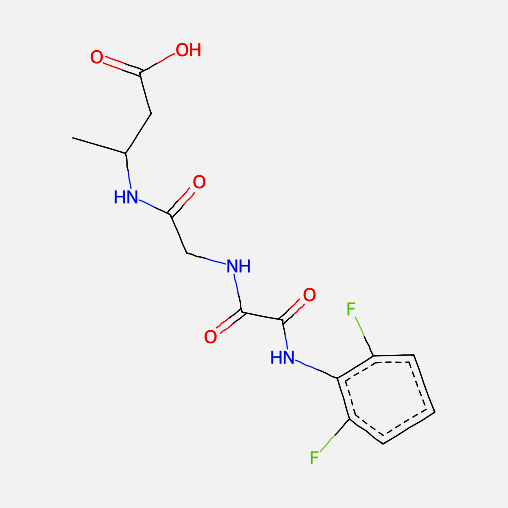 CC(CC(=O)O)NC(=O)CNC(=O)C(=O)Nc1c(F)cccc1F